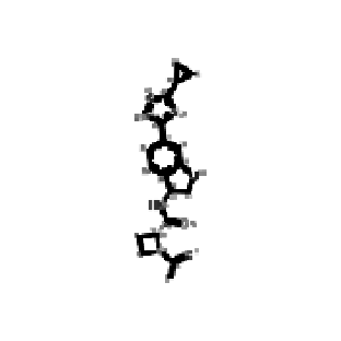 CC(=O)N1CC[C@@H]1C(=O)N[C@@H]1COc2cc(-c3noc(C4CC4)n3)ccc21